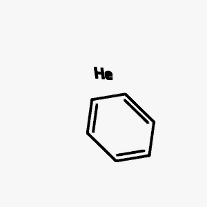 [He].c1ccccc1